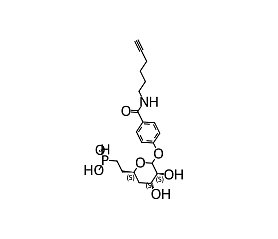 C#CCCCCNC(=O)c1ccc(OC2O[C@H](CC[PH](=O)O)C[C@H](O)[C@@H]2O)cc1